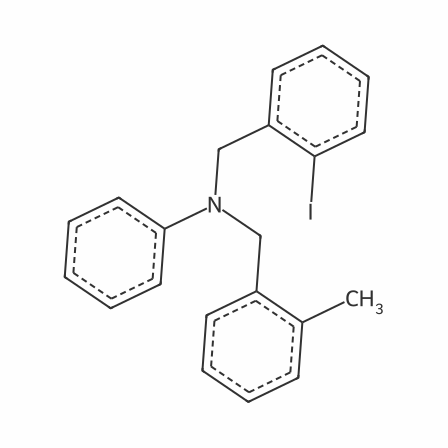 Cc1ccccc1CN(Cc1ccccc1I)c1ccccc1